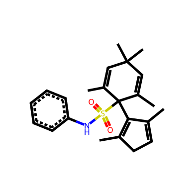 CC1=CCC(C)=C1C1(S(=O)(=O)Nc2ccccc2)C(C)=CC(C)(C)C=C1C